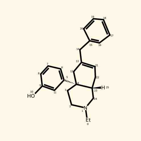 CCN1CC[C@@]2(c3cccc(O)c3)CC(Cc3ccccc3)=CC[C@@H]2C1